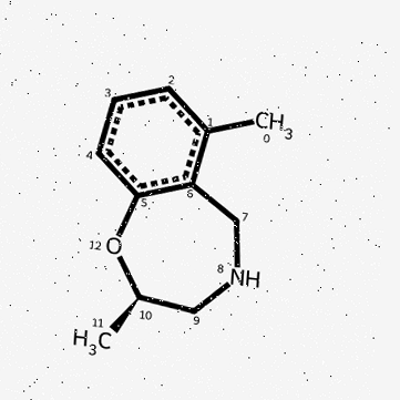 Cc1cccc2c1CNC[C@@H](C)O2